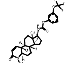 CN1C(=O)C=C[C@]2(C)[C@H]3CC[C@]4(C)[C@@H](NC(=O)Oc5cccc(OC(F)(F)F)c5)CC[C@H]4[C@@H]3CC[C@@H]12